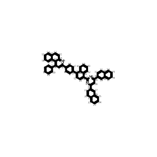 c1ccc(-c2cc(-c3ccc(-c4ccc(-c5nc(-c6ccc7ccccc7c6)cc(-c6ccc7ccccc7c6)n5)c5ccccc45)cc3)nc3ccc4ccccc4c23)cc1